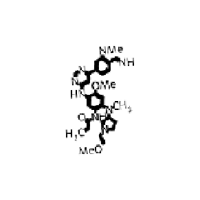 C=CC(=O)Nc1cc(Nc2cc(-c3ccc(C=N)c(NC)c3)ncn2)c(OC)cc1N(C)C1CCN(CCOC)C1